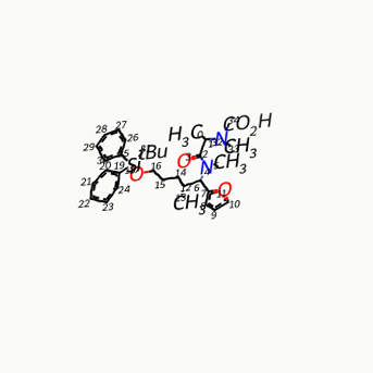 CC(C(=O)N(C)[C@H](c1ccco1)[C@H](C)CCCO[Si](c1ccccc1)(c1ccccc1)C(C)(C)C)N(C)C(=O)O